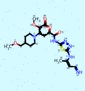 COCC1CCN(c2cc(C(=O)Nc3nnc(N/C(C)=C\C=N)s3)oc(=O)c2OC)CC1